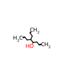 C=CCC(O)C(CC=C)CC=C